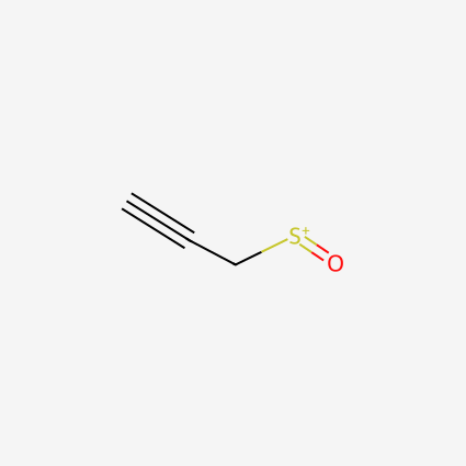 C#CC[S+]=O